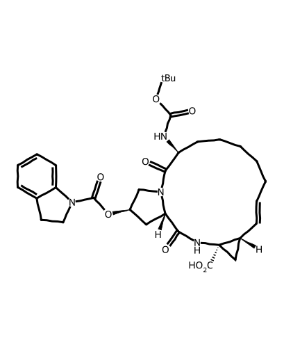 CC(C)(C)OC(=O)N[C@H]1CCCCC/C=C/[C@@H]2C[C@@]2(C(=O)O)NC(=O)[C@@H]2C[C@@H](OC(=O)N3CCc4ccccc43)CN2C1=O